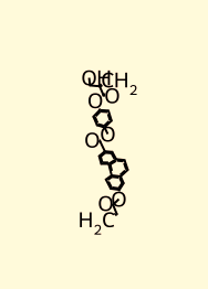 C=CC(=O)Oc1ccc2c(ccc3cc(C(=O)Oc4ccc(OC(=O)C(=C)CO)cc4)ccc32)c1